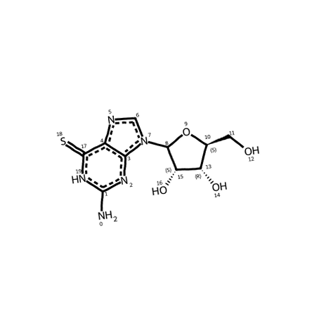 Nc1nc2c(ncn2C2O[C@@H](CO)[C@H](O)[C@@H]2O)c(=S)[nH]1